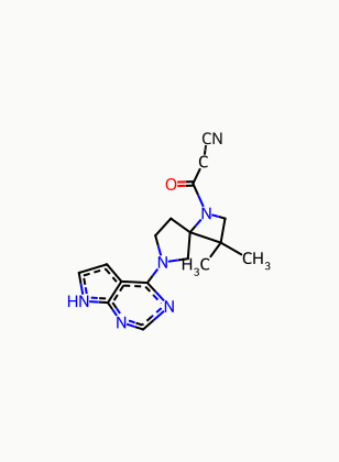 CC1(C)CN(C(=O)CC#N)C12CCN(c1ncnc3[nH]ccc13)C2